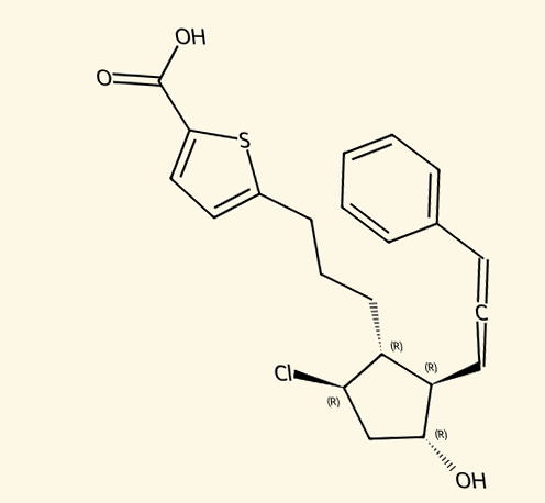 O=C(O)c1ccc(CCC[C@@H]2[C@@H](C=C=Cc3ccccc3)[C@H](O)C[C@H]2Cl)s1